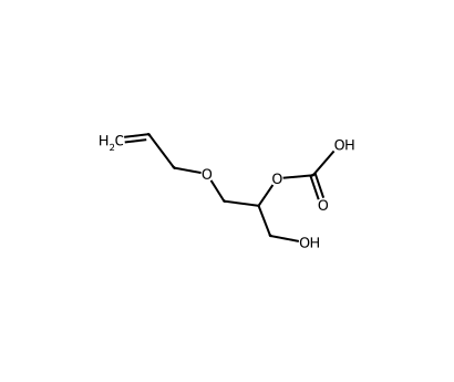 C=CCOCC(CO)OC(=O)O